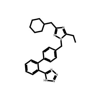 CCc1nc(CC2CCCCC2)nn1Cc1ccc(-c2ccccc2-c2nnn[nH]2)cc1